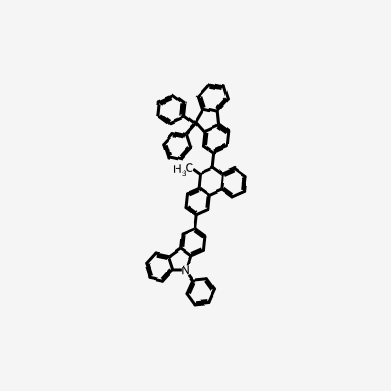 CC1c2ccc(-c3ccc4c(c3)c3ccccc3n4-c3ccccc3)cc2-c2ccccc2C1c1ccc2c(c1)C(c1ccccc1)(c1ccccc1)c1ccccc1-2